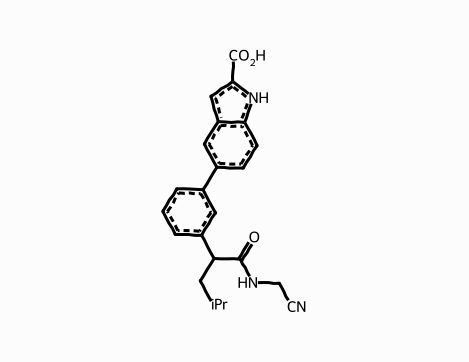 CC(C)CC(C(=O)NCC#N)c1cccc(-c2ccc3[nH]c(C(=O)O)cc3c2)c1